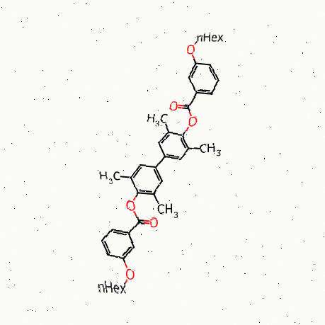 CCCCCCOc1cccc(C(=O)Oc2c(C)cc(-c3cc(C)c(OC(=O)c4cccc(OCCCCCC)c4)c(C)c3)cc2C)c1